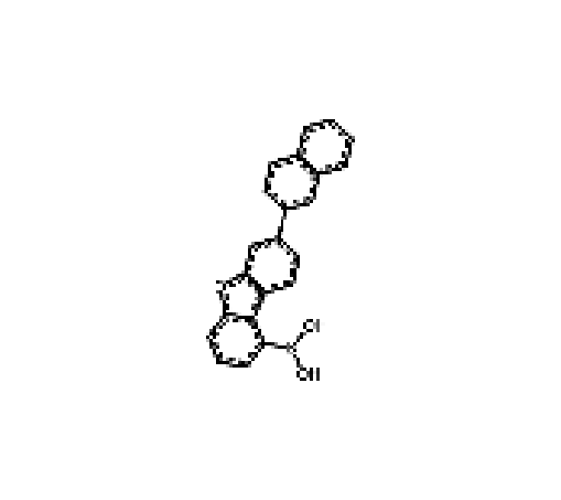 OB(O)c1cccc2oc3cc(-c4ccc5ccccc5c4)ccc3c12